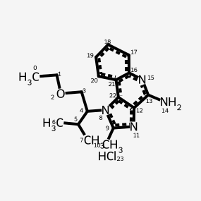 CCOCC(C(C)C)n1c(C)nc2c(N)nc3ccccc3c21.Cl